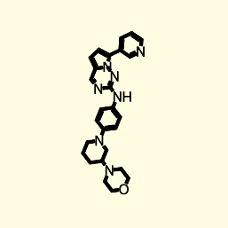 c1cncc(-c2ccc3cnc(Nc4ccc(N5CCCC(N6CCOCC6)C5)cc4)nn23)c1